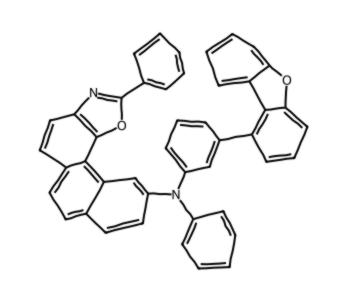 c1ccc(-c2nc3ccc4ccc5ccc(N(c6ccccc6)c6cccc(-c7cccc8oc9ccccc9c78)c6)cc5c4c3o2)cc1